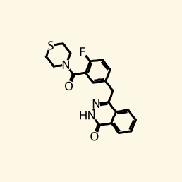 O=C(c1cc(Cc2n[nH]c(=O)c3ccccc23)ccc1F)N1CCSCC1